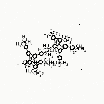 CC(C)(C)c1ccc(-c2ccc3c(c2)c2cc(-c4ccc(C(C)(C)C)cc4)cc4c2n3B2c3c-4cc(C(C)(C)CCC(C)(C)c4ccc(-c5cc6c7c(c5)c5cc(-c8ccc(C(C)(C)C)cc8)ccc5n7-c5cc(C(C)(C)C)cc7c5B6n5c6ccc(C(C)(C)C)cc6c6cc(C(C)(C)C)cc-7c65)cc4)cc3-n3c4ccc(C(C)(C)C)cc4c4cc(C(C)(C)C)cc2c43)cc1